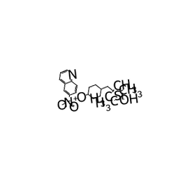 CC(C)(CC1CCC(Oc2cc3ncccc3cc2[N+](=O)[O-])CC1)[Si](C)(C)O